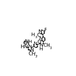 Cc1cc(Nc2cc[nH]n2)nc(-c2ccc(C(=O)NC(C)c3ccc(-c4cc(F)cnc4C)nc3)nc2)n1